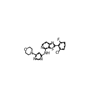 Fc1cccc(Cl)c1-c1nc2ccnc(Nc3cc(N4CCOCC4)ncn3)c2s1